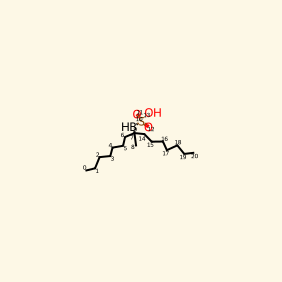 CCCCCCCC(C)(BS(=O)(=O)O)CCCCCCC